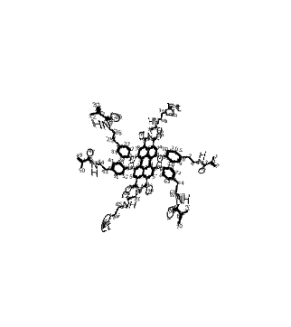 C=C(C)C(=O)NCCc1ccc(Oc2cc3c4c(cc(Oc5ccc(CCNC(=O)C(=C)C)cc5)c5c6c(Oc7ccc(CCNC(=O)C(=C)C)cc7)cc7c8c(cc(Oc9ccc(CCNC(=O)C(=C)C)cc9)c(c2c45)c86)C(=O)N(CC(=O)NCCOCC)C7=O)C(=O)N(CC(=O)NCCOCC)C3=O)cc1